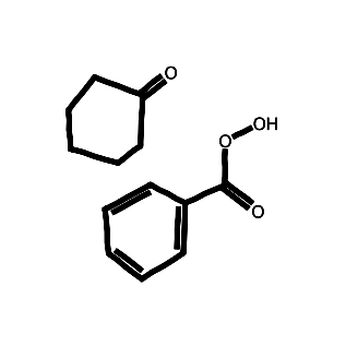 O=C(OO)c1ccccc1.O=C1CCCCC1